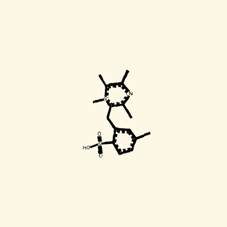 Cc1ccc(S(=O)(=O)O)c(Cc2c(C)nc(C)c(C)[n+]2C)c1